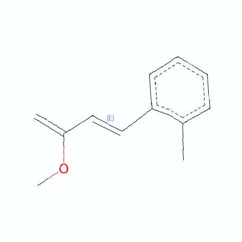 C=C(/C=C/c1ccccc1C)OC